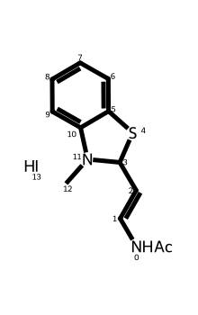 CC(=O)NC=CC1Sc2ccccc2N1C.I